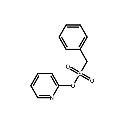 O=S(=O)(Cc1ccccc1)Oc1ccccn1